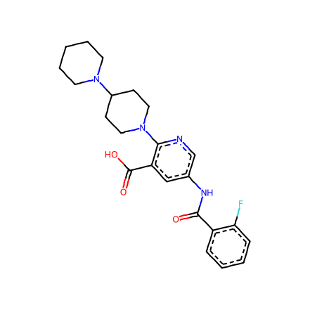 O=C(Nc1cnc(N2CCC(N3CCCCC3)CC2)c(C(=O)O)c1)c1ccccc1F